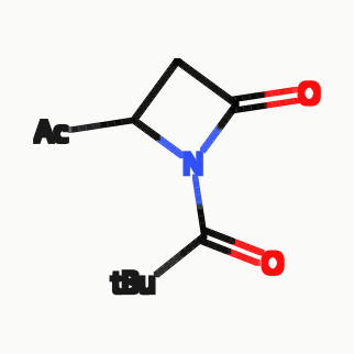 CC(=O)C1CC(=O)N1C(=O)C(C)(C)C